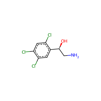 NC[C@H](O)c1cc(Cl)c(Cl)cc1Cl